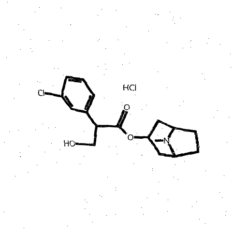 CN1C2CCC1CC(OC(=O)C(CO)c1cccc(Cl)c1)C2.Cl